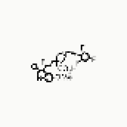 COc1ccc2ncc(Cl)c([C@H](F)CCC3(CC(=O)O)CCN(CC#Cc4c(F)cc(F)cc4F)CC3)c2c1